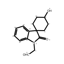 O=CCN1C(=O)C2(CCC(O)CC2)c2ccccc21